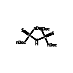 CCCCCCCCCCP(=S)(CCCCCCCCCC)NP(=S)(CCCCCCCCCC)CCCCCCCCCC